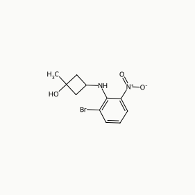 CC1(O)CC(Nc2c(Br)cccc2[N+](=O)[O-])C1